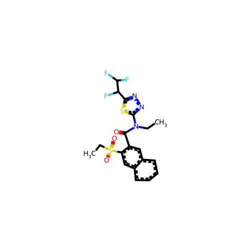 CCN(C(=O)c1cc2ccccc2cc1S(=O)(=O)CC)c1nnc(C(F)C(F)F)s1